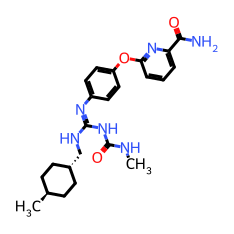 CNC(=O)N/C(=N\c1ccc(Oc2cccc(C(N)=O)n2)cc1)NC[C@H]1CC[C@H](C)CC1